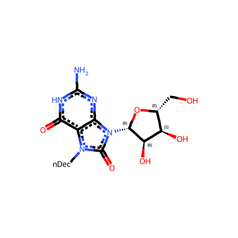 CCCCCCCCCCn1c(=O)n([C@@H]2O[C@H](CO)[C@@H](O)[C@H]2O)c2nc(N)[nH]c(=O)c21